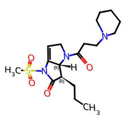 CCC[C@H]1C(=O)N(S(C)(=O)=O)C2=CCN(C(=O)CCN3CCCCC3)[C@@H]21